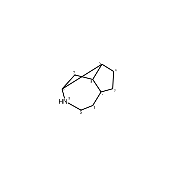 C1CC2CCC3C(CC23)N1